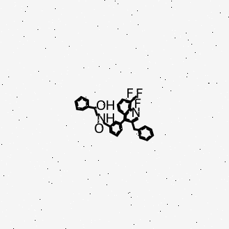 O=C(NCC(O)c1ccccc1)c1cccc(-c2c(Cc3ccccc3)cnc3c(C(F)(F)F)cccc23)c1